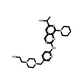 CC(O)c1cc2cnc(Nc3ccc(CN4CCN(CCO)CC4)cn3)nc2c(N2CCCCC2)n1